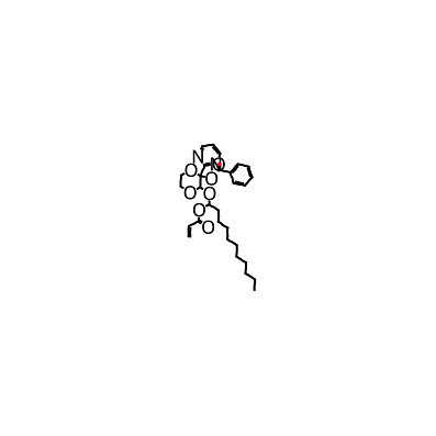 C=CC(=O)OC(CCCCCCCCCC)OC1OCCOC1(OC(=O)c1ccccc1)c1ncccn1